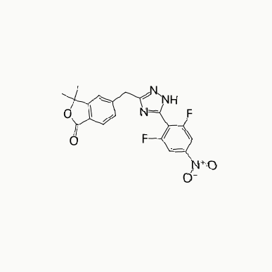 CC1(C)OC(=O)c2ccc(Cc3n[nH]c(-c4c(F)cc([N+](=O)[O-])cc4F)n3)cc21